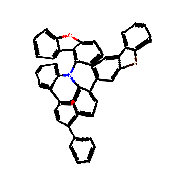 c1ccc(-c2ccc(-c3ccccc3N(c3ccccc3-c3ccc4c(c3)sc3ccccc34)c3cccc4oc5ccccc5c34)cc2)cc1